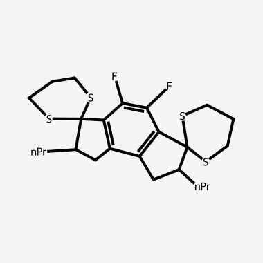 CCCC1Cc2c3c(c(F)c(F)c2C12SCCCS2)C1(SCCCS1)C(CCC)C3